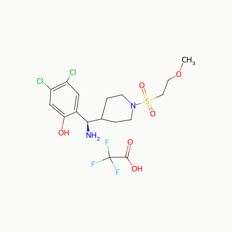 COCCS(=O)(=O)N1CCC([C@@H](N)c2cc(Cl)c(Cl)cc2O)CC1.O=C(O)C(F)(F)F